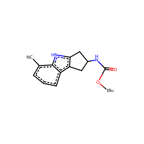 CC(C)(C)OC(=O)NC1Cc2[nH]c3c(C#N)cccc3c2C1